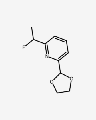 CC(F)c1cccc(C2OCCO2)n1